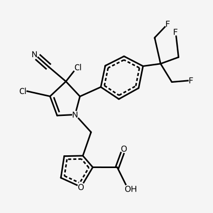 N#CC1(Cl)C(Cl)=CN(Cc2ccoc2C(=O)O)C1c1ccc(C(CF)(CF)CF)cc1